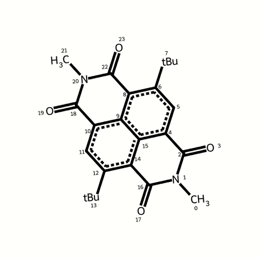 CN1C(=O)c2cc(C(C)(C)C)c3c4c(cc(C(C)(C)C)c(c24)C1=O)C(=O)N(C)C3=O